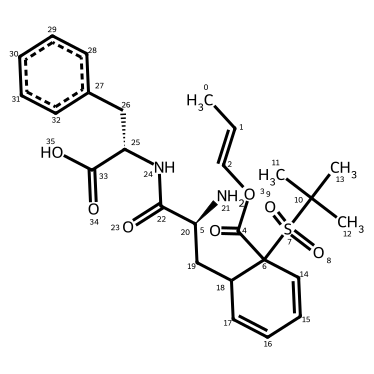 CC=COC(=O)C1(S(=O)(=O)C(C)(C)C)C=CC=CC1C[C@H](N)C(=O)N[C@@H](Cc1ccccc1)C(=O)O